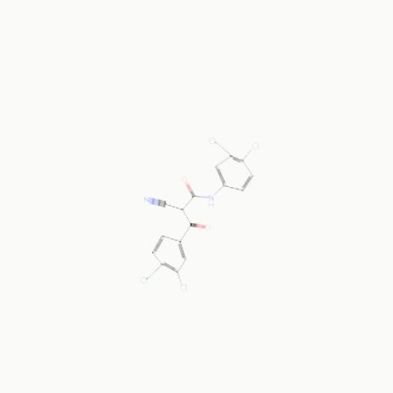 N#CC(C(=O)Nc1ccc(Cl)c(Cl)c1)C(=O)c1ccc(Cl)c(Cl)c1